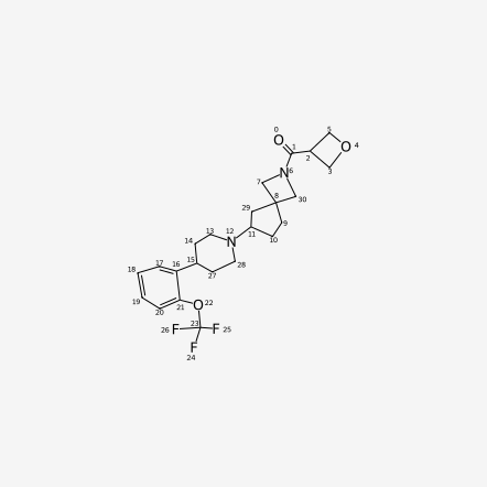 O=C(C1COC1)N1CC2(CCC(N3CCC(c4ccccc4OC(F)(F)F)CC3)C2)C1